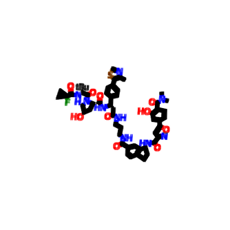 Cc1ncsc1-c1ccc([C@H](CC(=O)NCCCNC(=O)c2ccc3c(c2)[C@H](NC(=O)c2cc(-c4ccc(C(=O)N(C)C)c(O)c4)on2)CC3)NC(=O)[C@@H]2C[C@@H](O)CN2C(=O)[C@@H](NC(=O)C2(F)CC2)C(C)(C)C)cc1